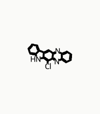 Clc1c2nc3ccccc3nc2cc2c1[nH]c1ccccc12